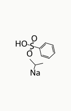 C[CH](C)[Na].O=S(=O)(O)c1ccccc1